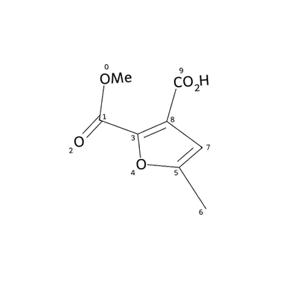 COC(=O)c1oc(C)cc1C(=O)O